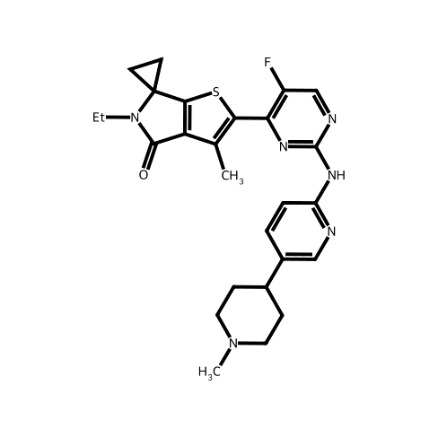 CCN1C(=O)c2c(sc(-c3nc(Nc4ccc(C5CCN(C)CC5)cn4)ncc3F)c2C)C12CC2